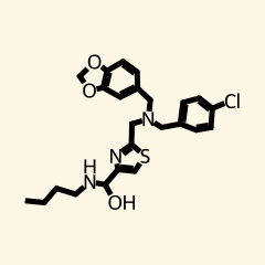 CCCCNC(O)c1csc(CN(Cc2ccc(Cl)cc2)Cc2ccc3c(c2)OCO3)n1